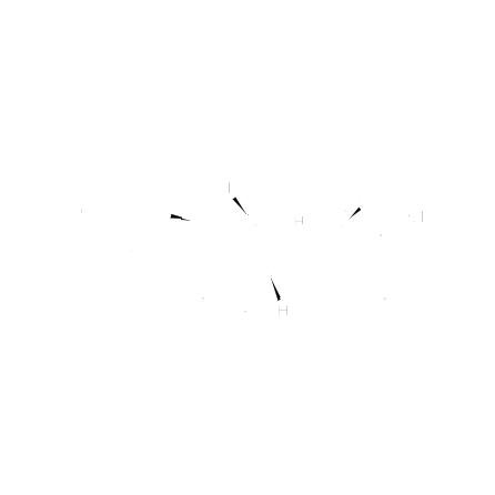 C[C@]12C=CC(=O)CC1CC[C@@H]1[C@H]2CC[C@]2(C)C(O)CC[C@@H]12